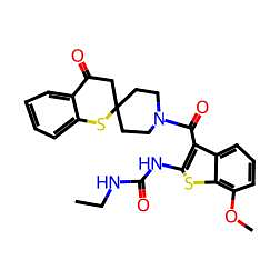 CCNC(=O)Nc1sc2c(OC)cccc2c1C(=O)N1CCC2(CC1)CC(=O)c1ccccc1S2